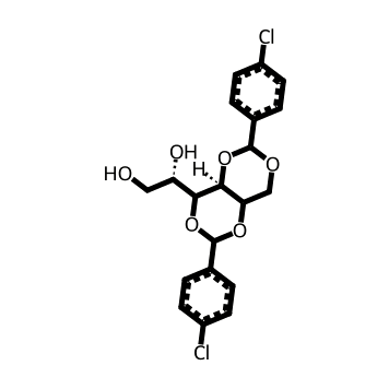 OC[C@H](O)C1OC(c2ccc(Cl)cc2)OC2COC(c3ccc(Cl)cc3)O[C@@H]21